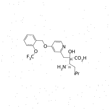 CC(C)C[C@H](N)[C@](O)(Cc1cc(OCc2ccccc2OC(F)(F)F)ccn1)C(=O)O